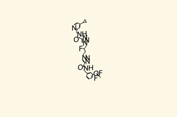 CC(F)(F)Oc1cccc(CNC(=O)c2cn(CCC(F)Cn3cc(C(=O)NCc4cc(C5CC5)ccn4)nn3)nn2)c1